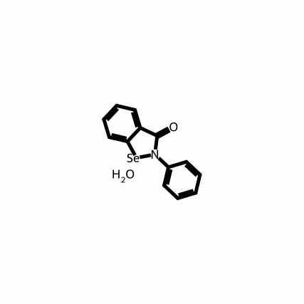 O.O=c1c2ccccc2[se]n1-c1ccccc1